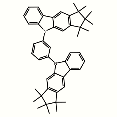 CC1(C)c2cc3c4ccccc4n(-c4cccc(-n5c6ccccc6c6cc7c(cc65)C(C)(C)C(C)(C)C7(C)C)c4)c3cc2C(C)(C)C1(C)C